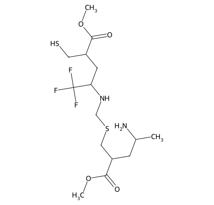 COC(=O)C(CSCNC(CC(CS)C(=O)OC)C(F)(F)F)CC(C)N